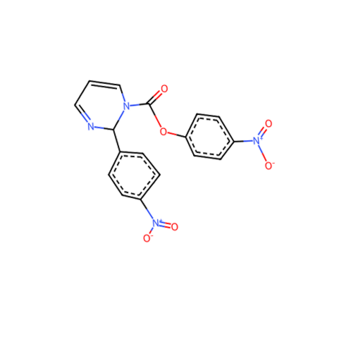 O=C(Oc1ccc([N+](=O)[O-])cc1)N1C=CC=NC1c1ccc([N+](=O)[O-])cc1